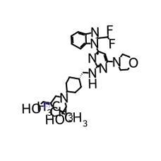 C/C(=C\O)CN(CC(C)(C)O)[C@H]1CC[C@H](CNc2nc(N3CCOCC3)cc(-n3c(C(F)F)nc4ccccc43)n2)CC1